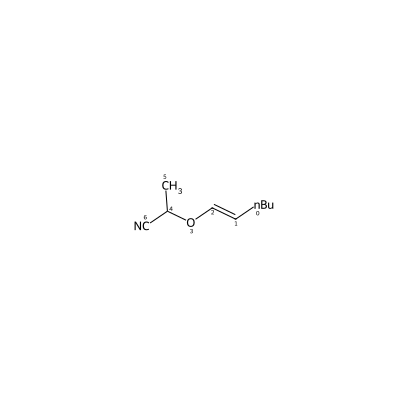 CCCC/C=C/OC(C)C#N